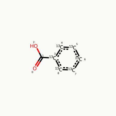 O=C(O)[13c]1[13cH][13cH][13cH][13cH][13cH]1